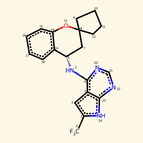 FC(F)(F)c1cc2c(N[C@H]3CC4(CCCC4)Oc4ccccc43)ncnc2[nH]1